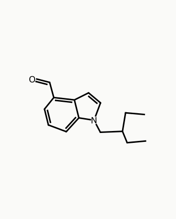 CCC(CC)Cn1ccc2c(C=O)cccc21